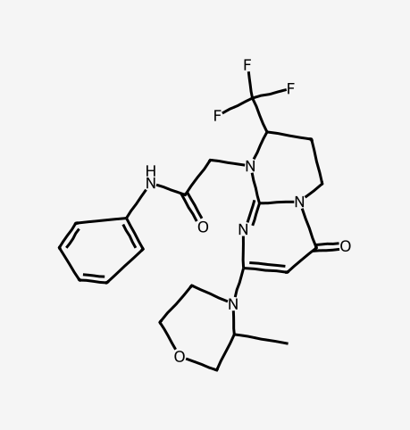 CC1COCCN1c1cc(=O)n2c(n1)N(CC(=O)Nc1ccccc1)C(C(F)(F)F)CC2